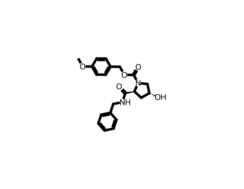 COc1ccc(COC(=O)N2C[C@H](O)C[C@H]2C(=O)NCc2ccccc2)cc1